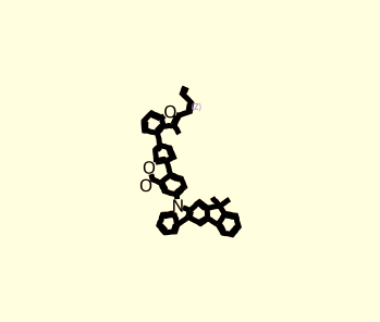 C=C/C=C\c1oc2cccc(-c3ccc4c(c3)oc(=O)c3cc(-n5c6ccccc6c6cc7c(cc65)C(C)(C)c5ccccc5-7)ccc34)c2c1C